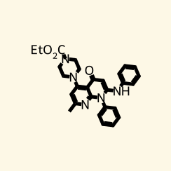 CCOC(=O)N1CCN(c2cc(C)nc3c2c(=O)cc(Nc2ccccc2)n3-c2ccccc2)CC1